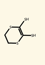 SC1=C(S)SCCS1